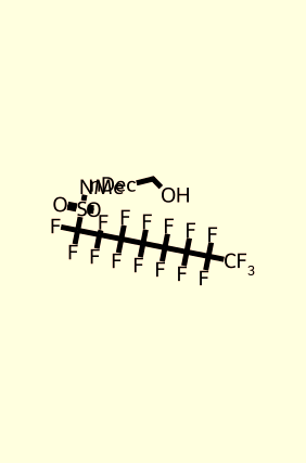 CCCCCCCCCCCO.CNS(=O)(=O)C(F)(F)C(F)(F)C(F)(F)C(F)(F)C(F)(F)C(F)(F)C(F)(F)C(F)(F)F